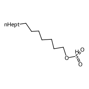 CCCCCCCCCCCCCCO[SH](=O)=O